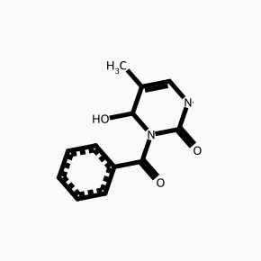 CC1=C[N]C(=O)N(C(=O)c2ccccc2)C1O